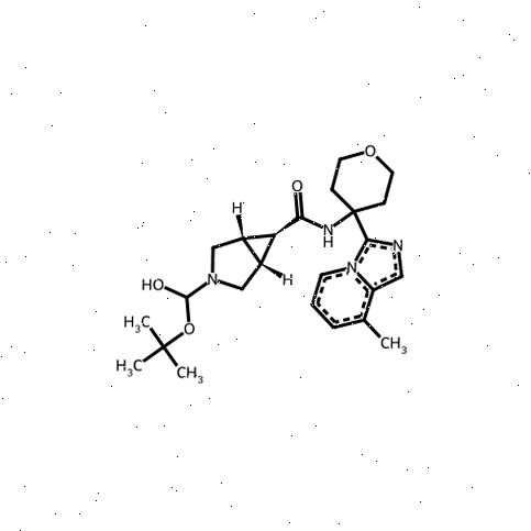 Cc1cccn2c(C3(NC(=O)[C@H]4[C@@H]5CN(C(O)OC(C)(C)C)C[C@@H]54)CCOCC3)ncc12